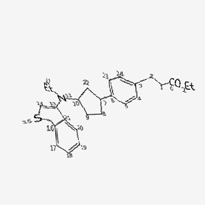 CCOC(=O)CCc1ccc(C2CCC(N(CC)c3csc4ccccc34)C2)cc1